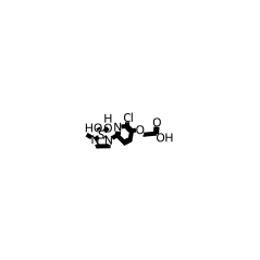 CN1CCN(c2ccc(OCC(=O)O)c(Cl)n2)S1(O)O